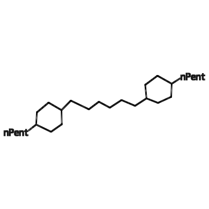 CCCCCC1CCC(CCCCCCC2CCC(CCCCC)CC2)CC1